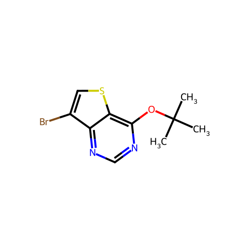 CC(C)(C)Oc1ncnc2c(Br)csc12